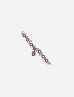 CCC1CCC(C(=O)OC2CCC(C(=O)OC3CCC(C(=O)Oc4ccc(OC(=O)C5CCC(OC(=O)[C@H]6CC[C@H](OC(=O)C7CCC(CC)CC7)CC6)CC5)cc4-c4nc5ccccc5o4)CC3)CC2)CC1